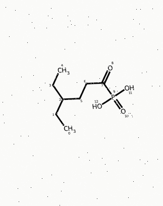 CCC(CC)CCC(=O)P(=O)(O)O